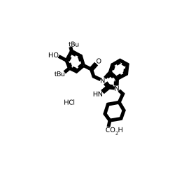 CC(C)(C)c1cc(C(=O)Cn2c(=N)n(CC3CCC(C(=O)O)CC3)c3ccccc32)cc(C(C)(C)C)c1O.Cl